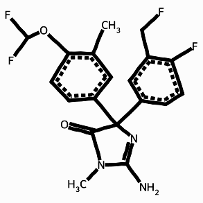 Cc1cc(C2(c3ccc(F)c(CF)c3)N=C(N)N(C)C2=O)ccc1OC(F)F